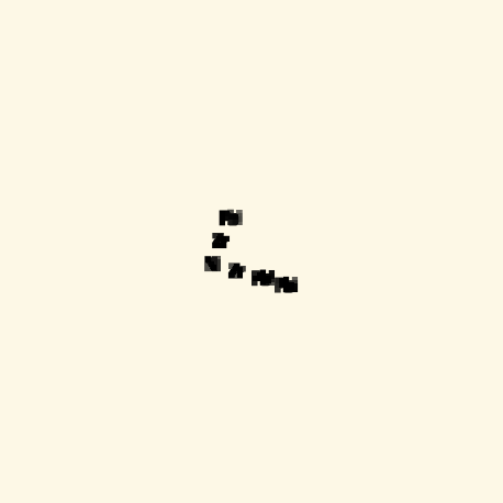 [Ni].[Pb].[Pb].[Pb].[Zr].[Zr]